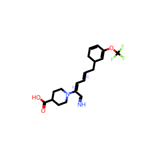 N=C/C(=C\C=C\CC1C=C(OC(F)(F)F)C=CC1)N1CCC(C(=O)O)CC1